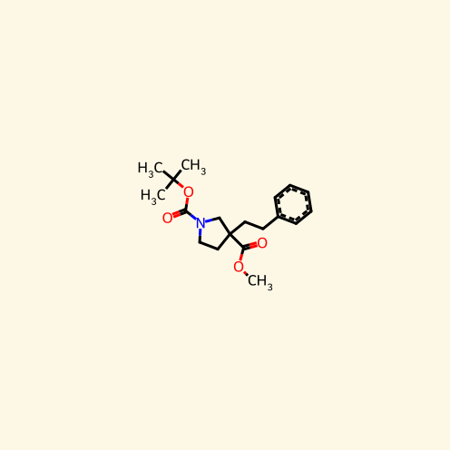 COC(=O)C1(CCc2ccccc2)CCN(C(=O)OC(C)(C)C)C1